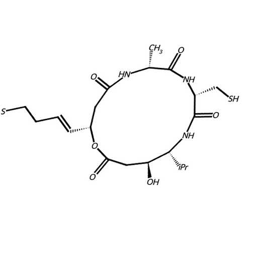 CC(C)[C@H]1NC(=O)[C@@H](CS)NC(=O)[C@@H](C)NC(=O)C[C@@H](/C=C/CCS)OC(=O)C[C@@H]1O